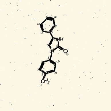 Cc1ccc(-n2cc(-c3ccccc3)[nH]c2=O)cc1